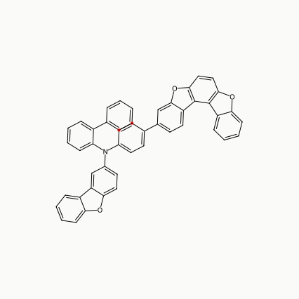 c1ccc(-c2ccccc2N(c2ccc(-c3ccc4c(c3)oc3ccc5oc6ccccc6c5c34)cc2)c2ccc3oc4ccccc4c3c2)cc1